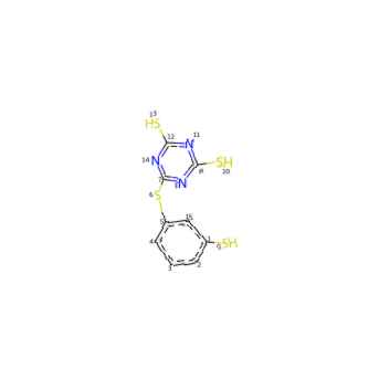 Sc1cccc(Sc2nc(S)nc(S)n2)c1